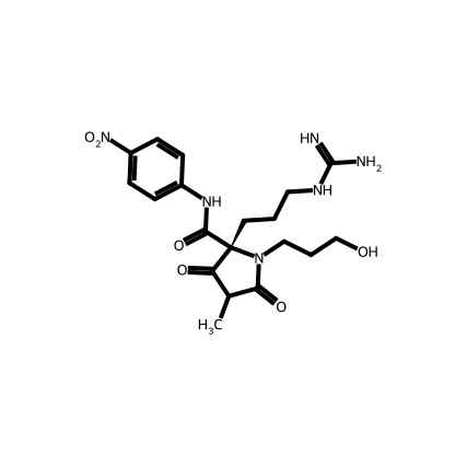 CC1C(=O)N(CCCO)[C@@](CCCNC(=N)N)(C(=O)Nc2ccc([N+](=O)[O-])cc2)C1=O